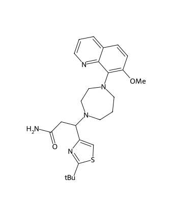 COc1ccc2cccnc2c1N1CCCN(C(CC(N)=O)c2csc(C(C)(C)C)n2)CC1